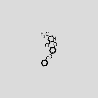 FC(F)(F)c1cnc(Oc2ccc(OCc3ccccc3)cc2)c(Cl)c1